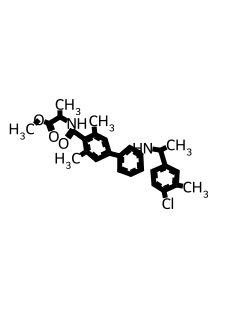 COC(=O)C(C)NC(=O)c1c(C)cc(-c2cccc(NC(C)c3ccc(Cl)c(C)c3)c2)cc1C